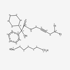 CCCCCCCCCCCCCCCC(=O)O.CCN(CC)CC#CCOC(=O)C(O)(c1ccccc1)C1CCCCC1